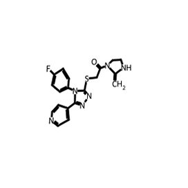 C=C1NCCN1C(=O)CSc1nnc(-c2ccncc2)n1-c1ccc(F)cc1